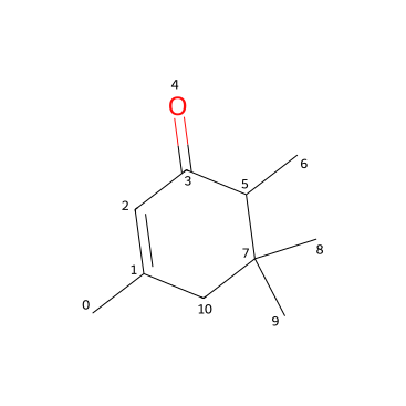 CC1=CC(=O)C(C)C(C)(C)C1